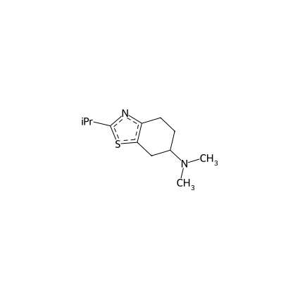 CC(C)c1nc2c(s1)CC(N(C)C)CC2